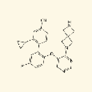 N#Cc1ccc(-c2cc(F)ccc2Oc2cncnc2N2CC3(CNC3)C2)c(C2CC2)c1